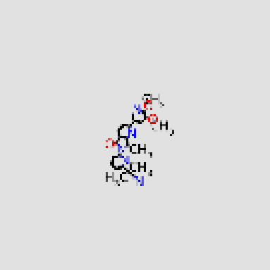 COc1cc(-c2ccc3c(n2)[C@@H](C)N(c2cccc(C(C)(C)C#N)n2)C3=O)cnc1OC